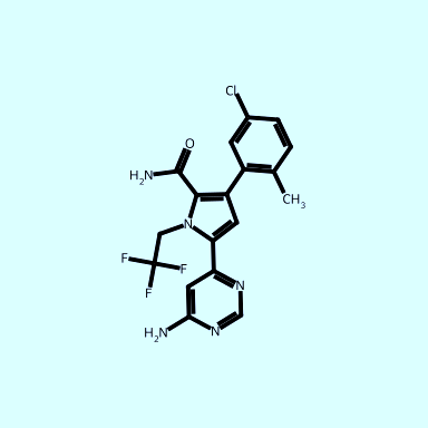 Cc1ccc(Cl)cc1-c1cc(-c2cc(N)ncn2)n(CC(F)(F)F)c1C(N)=O